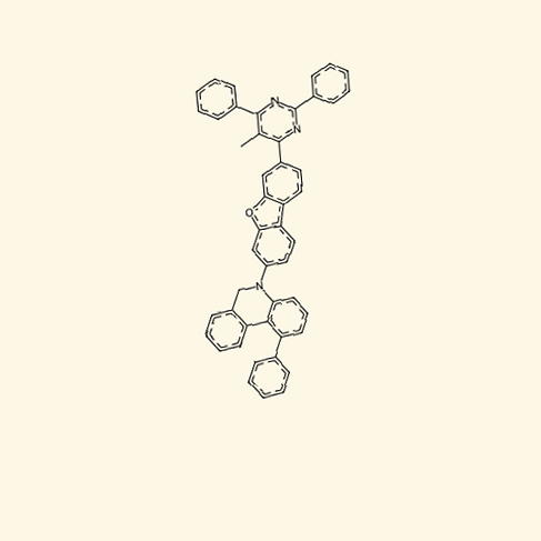 Cc1c(-c2ccccc2)nc(-c2ccccc2)nc1-c1ccc2c(c1)oc1cc(N3Cc4ccccc4-c4c(-c5ccccc5)cccc43)ccc12